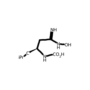 CC(C)C[C@@H](CC(=N)NO)NC(=O)O